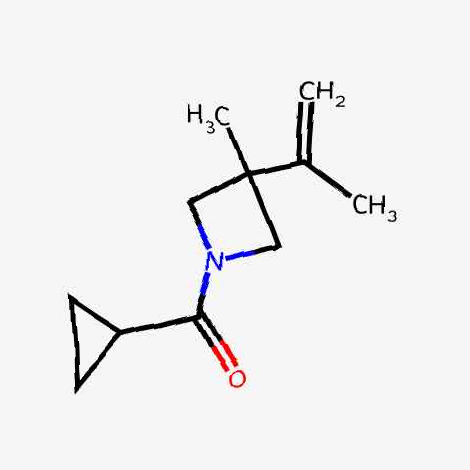 C=C(C)C1(C)CN(C(=O)C2CC2)C1